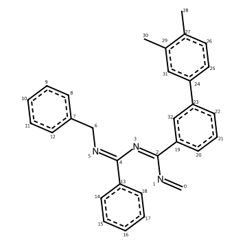 C=N/C(=N\C(=N/Cc1ccccc1)c1ccccc1)c1cccc(-c2ccc(C)c(C)c2)c1